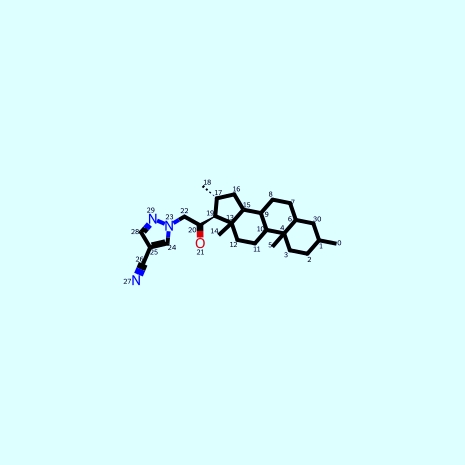 CC1CCC2(C)C(CCC3C2CCC2(C)C3C[C@@H](C)[C@@H]2C(=O)Cn2cc(C#N)cn2)C1